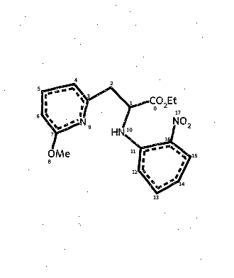 CCOC(=O)C(Cc1cccc(OC)n1)Nc1ccccc1[N+](=O)[O-]